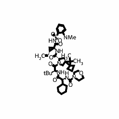 C=C[C@@H]1C[C@]1(NC(=O)[C@@H]1C[C@@]2(CN1C(=O)[C@@H](NC(=O)[C@@H](NC(=O)N1CCOCC1)C1CCCCC1)C(C)(C)C)C(C)(C)C21CCC1)C(=O)NS(=O)(=O)c1ccccc1NC